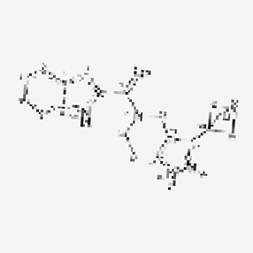 O=C(c1cc2ccccc2[nH]1)N1CCc2[nH]nc(C34CC(C3)C4)c2C1